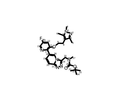 Cc1nn(C)c(C)c1CCOc1cc(F)cnc1-c1ccc2nnc(CN(C)C(=O)OC(C)(C)C)n2c1